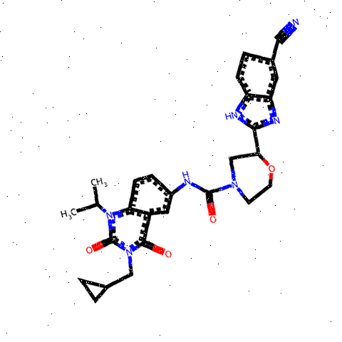 CC(C)n1c(=O)n(CC2CC2)c(=O)c2cc(NC(=O)N3CCOC(c4nc5cc(C#N)ccc5[nH]4)C3)ccc21